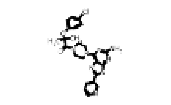 CC(C)(Oc1ccc(Cl)cc1)C(=O)N1CCN(c2nc(N)nc3sc(-c4cccnc4)nc23)CC1